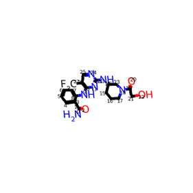 NC(=O)c1ccccc1Nc1nc(N[C@H]2CCCN(C(=O)CO)C2)ncc1C(F)(F)F